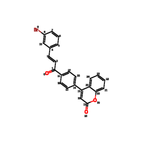 O=C(C=Cc1cccc(Br)c1)c1ccc(-c2cc(=O)oc3ccccc23)cc1